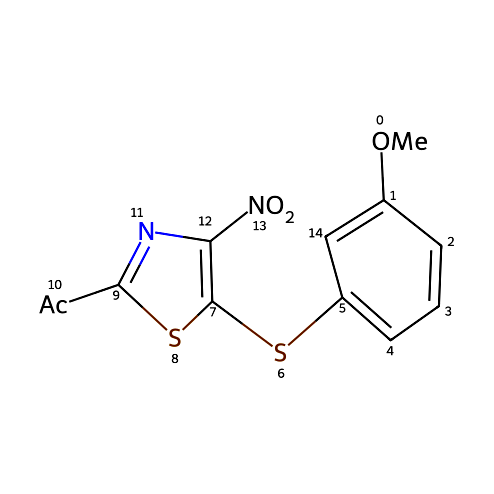 COc1cccc(Sc2sc(C(C)=O)nc2[N+](=O)[O-])c1